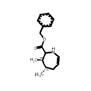 C[C@H]1CC=CNC(C(=O)OCc2ccccc2)[C@@H]1C